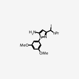 CCCC(I)c1cc(N)n(-c2cc(OC)cc(OC)c2)n1